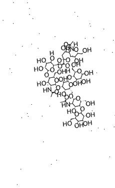 CC(=O)N[C@H]1[C@H](OC[C@H]2O[C@@H](O[C@H]3[C@H](O)[C@@H](O)[C@H](O)O[C@@H]3CO)[C@H](O)[C@@H](O[C@@H]3O[C@H](CO)[C@@H](O[C@@H]4O[C@H](CO[C@]5(C(=O)O)C[C@H](O)[C@@H](NC(C)=O)[C@H]([C@H](O)[C@H](O)CO)O5)[C@H](O)[C@H](O)[C@H]4O)[C@H](O)[C@H]3NC(C)=O)[C@H]2O)O[C@H](CO)[C@@H](O[C@@H]2O[C@H](CO)[C@H](O)[C@H](O)[C@H]2O)[C@@H]1O